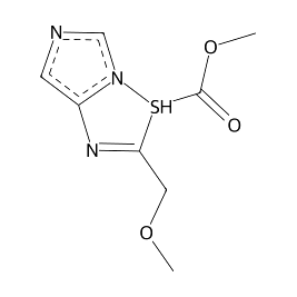 COCC1=Nc2cncn2[SH]1C(=O)OC